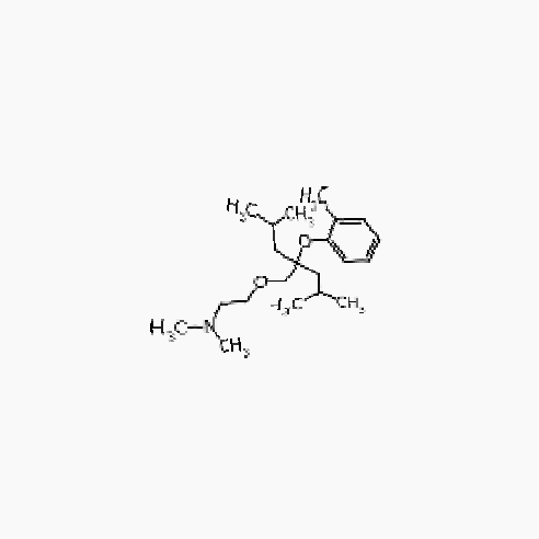 Cc1ccccc1OC(COCCN(C)C)(CC(C)C)CC(C)C